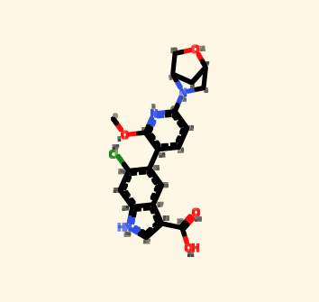 COc1nc(N2CC3CC2CO3)ccc1-c1cc2c(C(=O)O)c[nH]c2cc1Cl